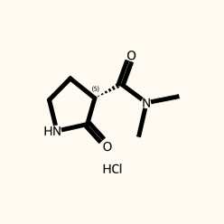 CN(C)C(=O)[C@H]1CCNC1=O.Cl